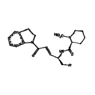 CC(C)C[C@@H](/C=C/C(=O)N1CCc2ccccc21)NC(=O)[C@@H]1CCCCN1C(=O)O